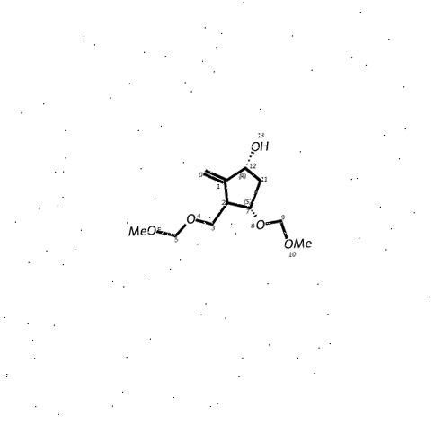 C=C1C(COCOC)[C@@H](OCOC)C[C@H]1O